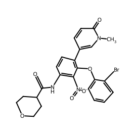 Cn1cc(-c2ccc(NC(=O)C3CCOCC3)c([N+](=O)[O-])c2Oc2ccccc2Br)ccc1=O